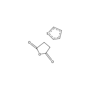 O=C1CCC(=O)O1.c1ccsc1